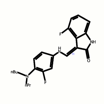 CCCCN(CCC)c1ccc(N/C=C2/C(=O)Nc3cccc(F)c32)cc1F